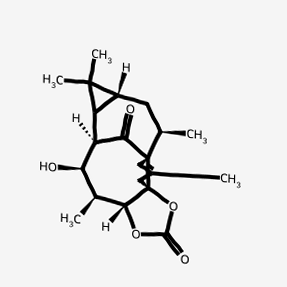 CC1=C[C@@]23C(=O)[C@H](C4[C@@H](C[C@H]2C)C4(C)C)[C@H](O)[C@H](C)[C@H]2OC(=O)O[C@]23C1